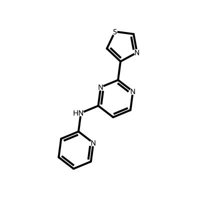 c1ccc(Nc2ccnc(-c3cscn3)n2)nc1